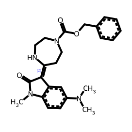 CN(C)c1ccc2c(c1)/C(=C1\CCN(C(=O)OCc3ccccc3)CCN1)C(=O)N2C